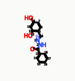 O=C(N/N=C/c1ccc(O)cc1O)c1ccccc1